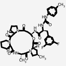 Cc1ccc(NC(=O)N[C@@H](Cc2cc(F)cc(F)c2)C(=O)N[C@@H]2CC(=O)N3CCC[C@H]3C(=O)N3CCCC[C@H]3C(=O)N[C@@H](C)C(=O)N3C[C@H](C)C[C@H]3C(=O)O2)cc1